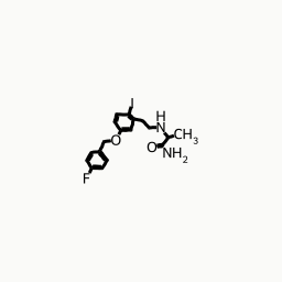 CC(NCCc1cc(OCc2ccc(F)cc2)ccc1I)C(N)=O